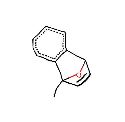 CC12C=CC(O1)c1ccccc12